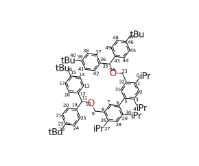 CC(C)c1cc(C(C)C)c(-c2cc(COC(c3ccc(C(C)(C)C)cc3)c3ccc(C(C)(C)C)cc3)c(C(C)C)cc2C(C)C)cc1COC(c1ccc(C(C)(C)C)cc1)c1ccc(C(C)(C)C)cc1